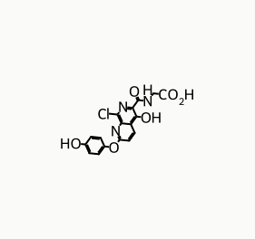 O=C(O)CNC(=O)c1nc(Cl)c2nc(Oc3ccc(O)cc3)ccc2c1O